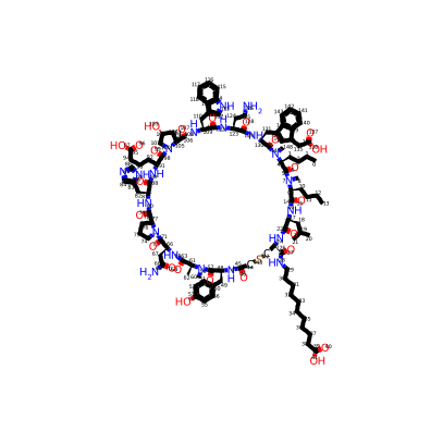 CCCC[C@H]1C(=O)N(C)[C@@H](CCCC)C(=O)N[C@@H](CC(C)C)C(=O)N[C@H](C(=O)NCCCCCCCCCCC(=O)O)CSCC(=O)N[C@@H](Cc2ccc(O)cc2)C(=O)N(C)[C@@H](C)C(=O)N[C@@H](CC(N)=O)C(=O)N2CCCC2C(=O)N[C@@H](Cc2cnc[nH]2)C(=O)NC(CCCC(=O)O)C(=O)N2C[C@H](O)C[C@H]2C(=O)N[C@@H](Cc2c[nH]c3ccccc23)C(=O)N[C@@H](CCN)C(=O)N[C@@H](CC2=CC(CC(=O)O)c3ccccc32)C(=O)N1C